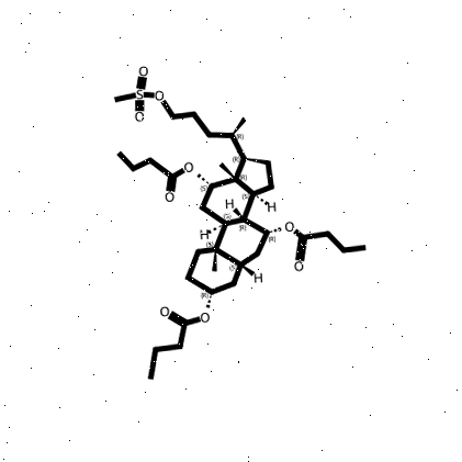 CCCC(=O)O[C@@H]1CC[C@@]2(C)[C@@H](C1)C[C@@H](OC(=O)CCC)[C@@H]1[C@@H]2C[C@H](OC(=O)CCC)[C@]2(C)[C@@H]([C@H](C)CCCOS(C)(=O)=O)CC[C@@H]12